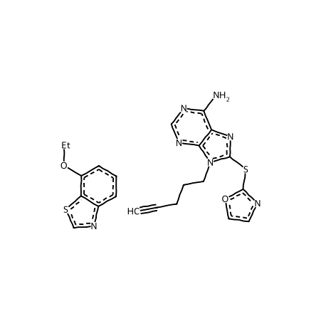 C#CCCCn1c(Sc2ncco2)nc2c(N)ncnc21.CCOc1cccc2ncsc12